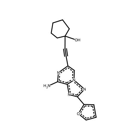 Nc1nc(C#CC2(O)CCCCC2)cn2nc(-c3ccco3)nc12